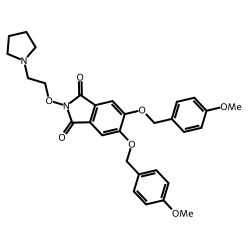 COc1ccc(COc2cc3c(cc2OCc2ccc(OC)cc2)C(=O)N(OCCN2CCCC2)C3=O)cc1